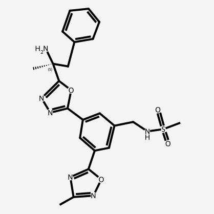 Cc1noc(-c2cc(CNS(C)(=O)=O)cc(-c3nnc([C@@](C)(N)Cc4ccccc4)o3)c2)n1